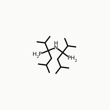 CC(C)CC(P)(NC(P)(CC(C)C)C(C)C)C(C)C